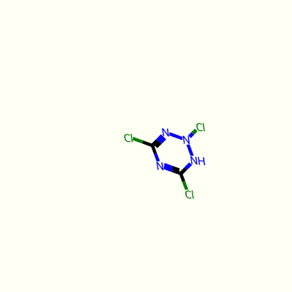 ClC1=NN(Cl)NC(Cl)=N1